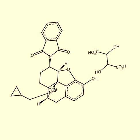 O=C(O)C(O)C(O)C(=O)O.O=C1c2ccccc2C(=O)N1[C@@H]1CCC2(O)[C@H]3Cc4ccc(O)c5c4[C@@]2(CCN3CC2CC2)[C@H]1O5